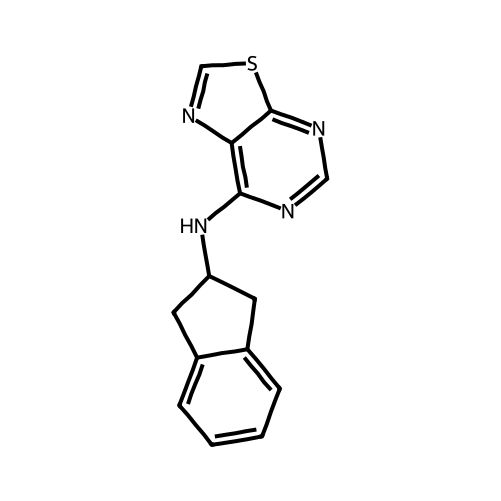 c1ccc2c(c1)CC(Nc1ncnc3scnc13)C2